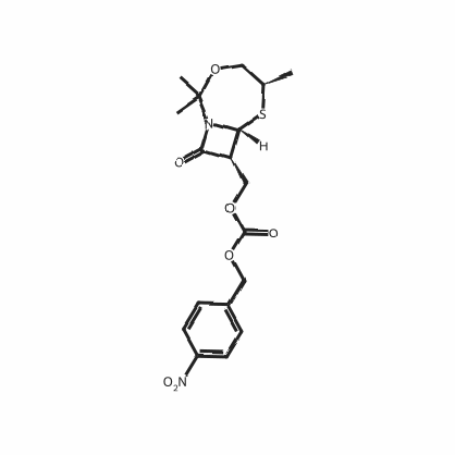 C[C@@H]1COC(C)(C)N2C(=O)[C@H](COC(=O)OCc3ccc([N+](=O)[O-])cc3)[C@H]2S1